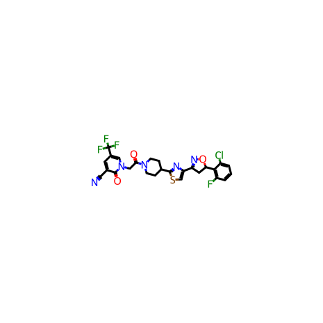 N#Cc1cc(C(F)(F)F)cn(CC(=O)N2CCC(c3nc(C4=NOC(c5c(F)cccc5Cl)C4)cs3)CC2)c1=O